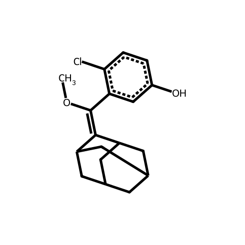 COC(=C1C2CC3CC(C2)CC1C3)c1cc(O)ccc1Cl